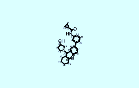 O=C(Nc1cc(-c2ccc3nc4c(c(N5CC[C@H](O)C5)c3c2)CCCC4)ccn1)C1CC1